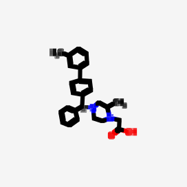 Cc1cccc(-c2ccc([C@@H](c3ccccc3)N3CCN(CC(=O)O)C(C)C3)cc2)c1